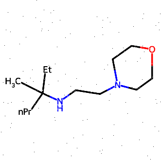 CCCC(C)(CC)NCCN1CCOCC1